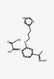 C/C(=N\O)c1cccc(OCCCc2c[nH]cn2)c1.O=C(O)C(=O)O